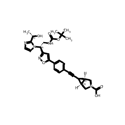 C[C@H](O)c1nccn1[C@H](CNC(=O)OC(C)(C)C)c1cc(-c2ccc(C#CC3[C@H]4CN(C(=O)O)C[C@@H]34)cc2)on1